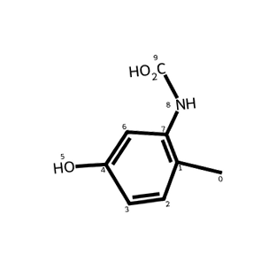 Cc1ccc(O)cc1NC(=O)O